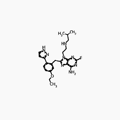 CCOc1ccc(-c2cc[nH]n2)c(Cc2nc3c(N)nc(F)nc3n2CCNCC(C)C)c1